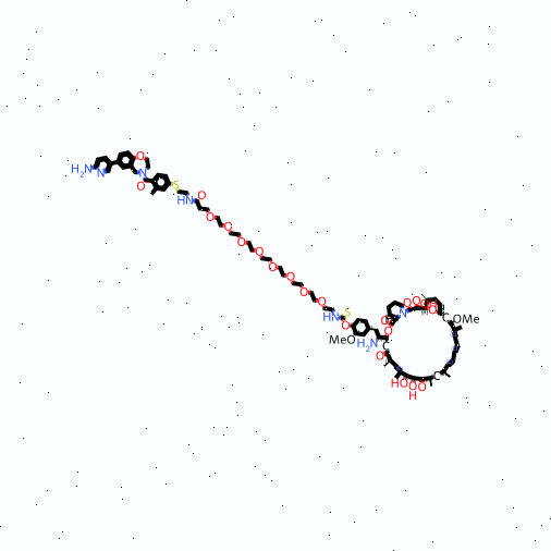 CO[C@H]1C[C@@H]2CC[C@@H](C)[C@@](O)(O2)C(=O)C(=O)N2CCCC[C@H]2C(=O)O[C@H]([C@H](N)C[C@@H]2CC[C@@H](OC(=S)NCCOCCOCCOCCOCCOCCOCCOCCOCCC(=O)NCCSc3ccc(C(=O)N4CCOc5ccc(-c6ccc(N)nc6)cc5C4)c(C)c3)[C@H](OC)C2)CC(=O)[C@H](C)/C=C(\C)[C@@H](O)[C@@H](O)C(=O)[C@H](C)C[C@H](C)/C=C/C=C/C=C/1C